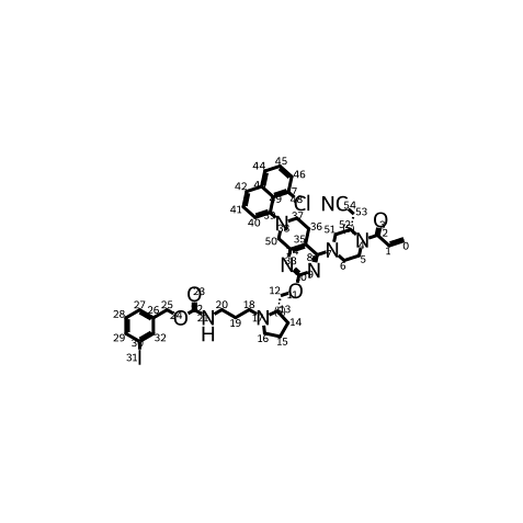 C=CC(=O)N1CCN(c2nc(OC[C@@H]3CCCN3CCCNC(=O)OCc3cccc(I)c3)nc3c2CCN(c2cccc4cccc(Cl)c24)C3)C[C@@H]1CC#N